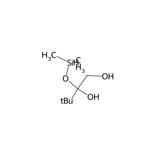 C[SiH](C)OC(O)(CO)C(C)(C)C